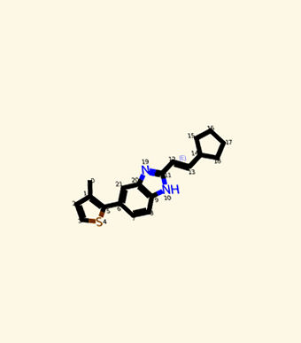 Cc1ccsc1-c1ccc2[nH]c(/C=C/C3CCCC3)nc2c1